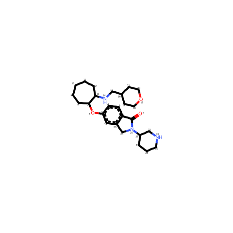 O=C1c2ccc(OC3CCCCCC3NCC3CCOCC3)cc2CN1C1CCCNC1